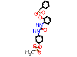 CS(=O)(=O)Oc1ccc(NC(=O)Nc2ccccc2OS(=O)(=O)Cc2ccccc2)cc1